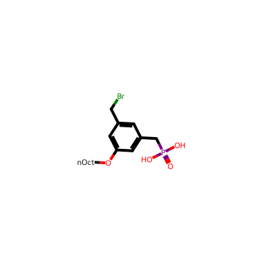 CCCCCCCCOc1cc(CBr)cc(CP(=O)(O)O)c1